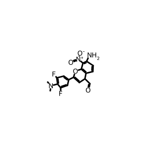 CN(C)c1c(F)cc(C2=CC(C=O)c3ccc(N)c([N+](=O)[O-])c3O2)cc1F